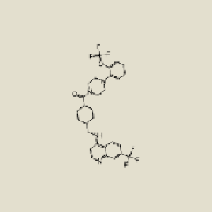 O=C(C1CCC(CNc2ccnc3cc(C(F)(F)F)ccc23)CC1)N1CCN(c2ccccc2OC(F)(F)F)CC1